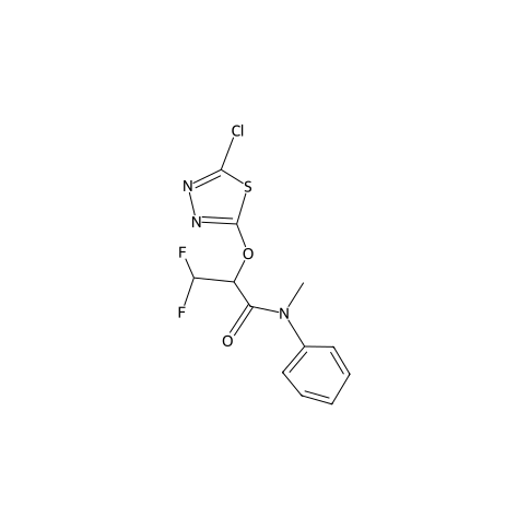 CN(C(=O)C(Oc1nnc(Cl)s1)C(F)F)c1ccccc1